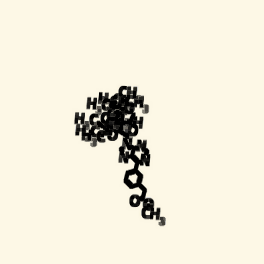 COC(=O)Cc1cccc(-c2ncnc3c2ncn3[C@@H]2O[C@@H]3CO[Si](C(C)(C)C)(C(C)(C)C)O[C@H]3[C@H]2O[Si](C)(C)C(C)(C)C)c1